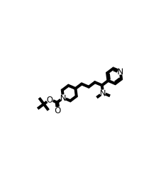 CN(C)C(CCCC1CCN(C(=O)OC(C)(C)C)CC1)c1ccncc1